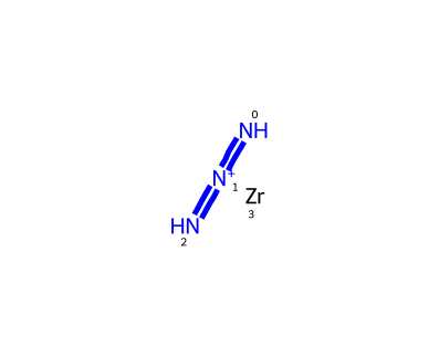 N=[N+]=N.[Zr]